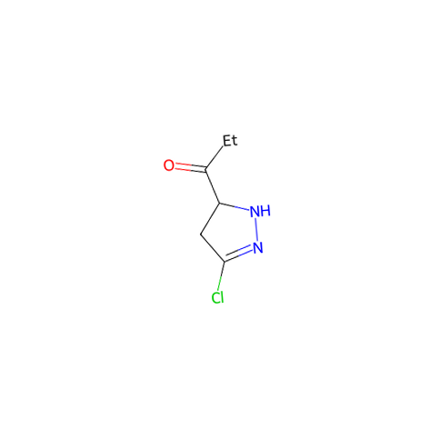 CCC(=O)C1CC(Cl)=NN1